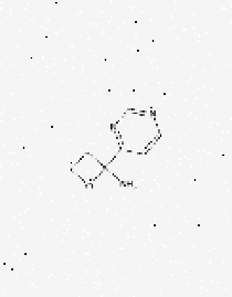 NC1(c2ccn[c]n2)CCO1